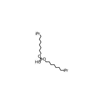 CC(C)CCCCCCCOB(O)OCCCCCCCC(C)C